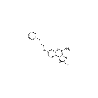 CCc1nc2c(N)nc3cc(OCCCc4cccnc4)ccc3c2s1